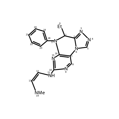 CCC1c2nncn2-c2cnc(N/C=C\NC)nc2N1c1ccccc1